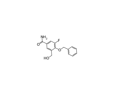 NC(=O)c1cc(F)c(OCc2ccccc2)c(CO)c1